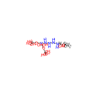 CC(C)(C)OCC(O)CNCCNCCNCCNCCN(CC(O)COCCC[Si](O)(O)O)CC(O)COCCC[Si](O)(O)O